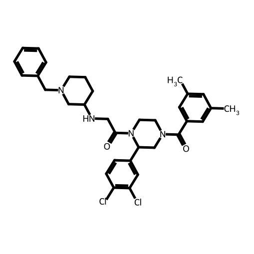 Cc1cc(C)cc(C(=O)N2CCN(C(=O)CNC3CCCN(Cc4ccccc4)C3)C(c3ccc(Cl)c(Cl)c3)C2)c1